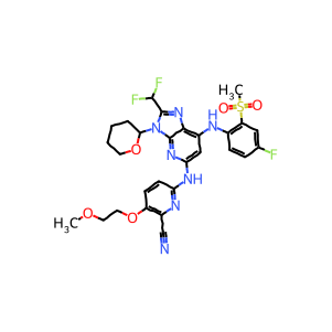 COCCOc1ccc(Nc2cc(Nc3ccc(F)cc3S(C)(=O)=O)c3nc(C(F)F)n(C4CCCCO4)c3n2)nc1C#N